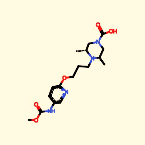 COC(=O)Nc1ccc(OCCCN2C(C)CN(C(=O)O)C[C@H]2C)nc1